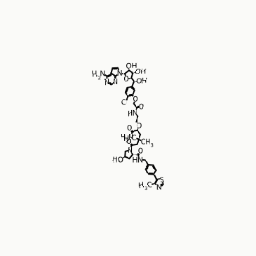 Cc1ncsc1-c1ccc(CNC(=O)[C@@H]2C[C@@H](O)CN2C(=O)CC(C)(C)CC(OCCNC(=O)COc2cc([C@@H](O)[C@H]3O[C@@H](n4ccc5c(N)ncnc54)[C@H](O)[C@@H]3O)ccc2Cl)C(N)=O)cc1